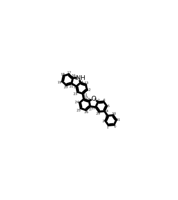 c1ccc(-c2ccc3oc4c(-c5ccc6[nH]c7ccccc7c6c5)cccc4c3c2)cc1